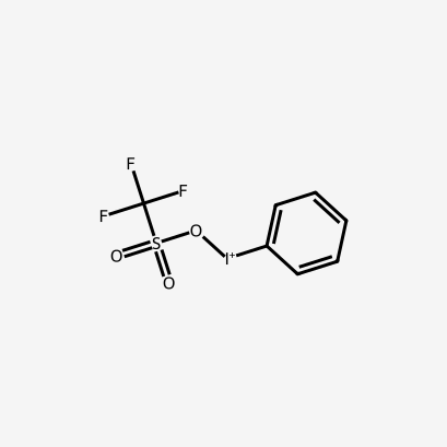 O=S(=O)(O[I+]c1ccccc1)C(F)(F)F